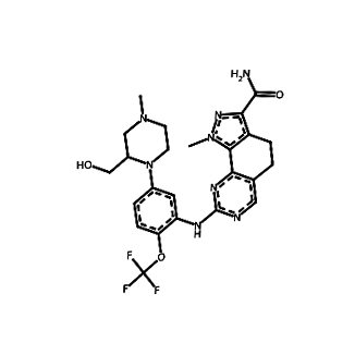 CN1CCN(c2ccc(OC(F)(F)F)c(Nc3ncc4c(n3)-c3c(c(C(N)=O)nn3C)CC4)c2)C(CO)C1